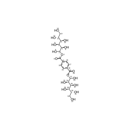 O=C(OC(O)[C@H](O)[C@@H](O)[C@H](O)[C@H](O)CO)c1ccc(C(=O)OC(O)[C@H](O)[C@@H](O)[C@H](O)[C@H](O)CO)cc1